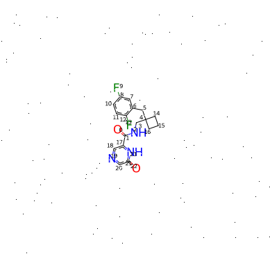 O=C(NCC1(Cc2cc(F)ccc2F)CCC1)c1cncc(=O)[nH]1